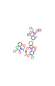 C#CC(C)Oc1cc(N2C(=O)C3=C(CCCC3)C2=O)c(F)cc1Cl.CC1COc2ccccc2N1C(=O)C(Cl)Cl.CCOCN(C(=O)CCl)c1c(C)cccc1CC